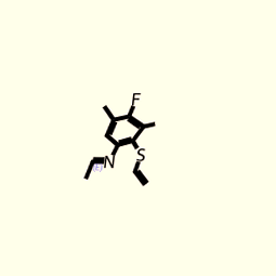 C=CSc1c(/N=C/C)cc(C)c(F)c1C